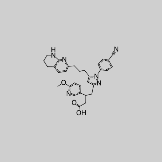 COc1ccc(C(CC(=O)O)Cc2cc(CCCc3ccc4c(n3)NCCC4)n(-c3ccc(C#N)cc3)n2)cn1